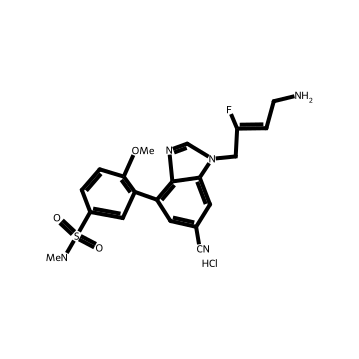 CNS(=O)(=O)c1ccc(OC)c(-c2cc(C#N)cc3c2ncn3CC(F)=CCN)c1.Cl